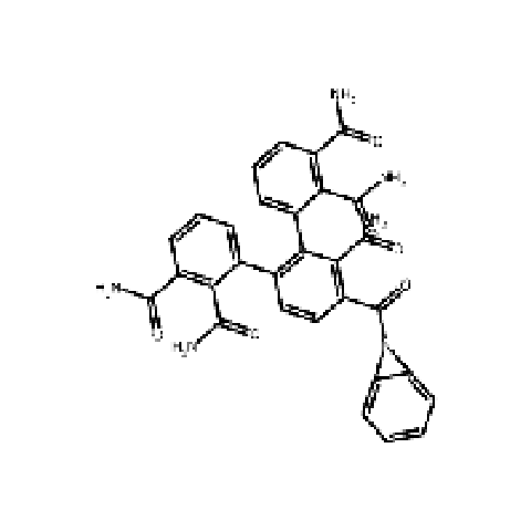 NC(=O)c1cccc(-c2ccc(C(=O)N3c4ccccc43)c(C(N)=O)c2-c2cccc(C(N)=O)c2C(N)=O)c1C(N)=O